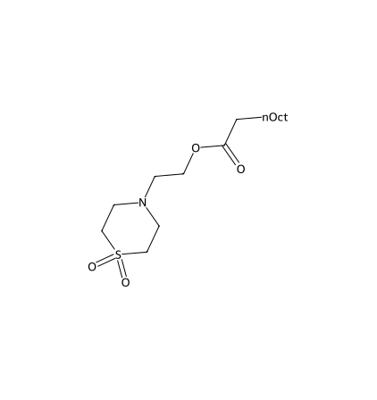 CCCCCCCCCC(=O)OCCN1CCS(=O)(=O)CC1